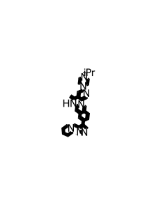 C=C(Nc1cc2cc(-c3cnn(C)c3CN3CCCCC3)ccc2cn1)c1ccnc(N2CCN(C(C)C)CC2)c1